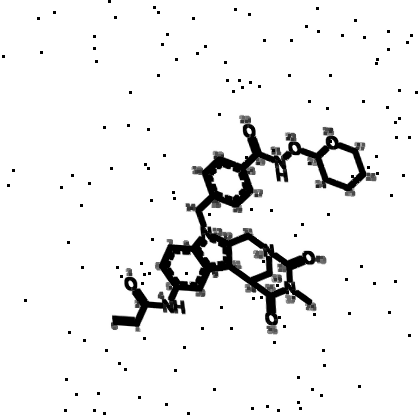 C=CC(=O)Nc1ccc2c(c1)c1c(n2Cc2ccc(C(=O)NOC3CCCCO3)cc2)CN2CC1C(=O)N(C)C2=O